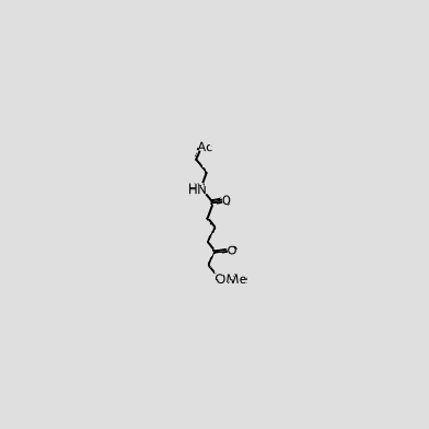 COCC(=O)CCCC(=O)NCCC(C)=O